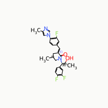 Cc1cn(-c2ccc(/C=C3\C[C@H](C)CN([C@H](c4ccc(F)c(F)c4)[C@@H](C)O)C3=O)cc2F)cn1